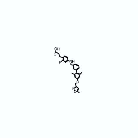 Cc1cc(COc2cc(C)c(-c3cccc(CNc4ccc(CCC(=O)O)c(F)c4)c3)c(C)c2)no1